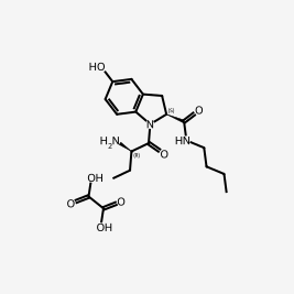 CCCCNC(=O)[C@@H]1Cc2cc(O)ccc2N1C(=O)[C@H](N)CC.O=C(O)C(=O)O